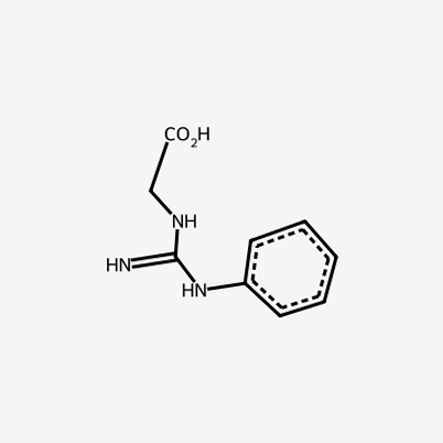 N=C(NCC(=O)O)Nc1ccccc1